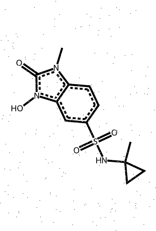 Cn1c(=O)n(O)c2cc(S(=O)(=O)NC3(C)CC3)ccc21